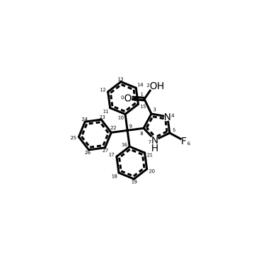 O=C(O)c1nc(F)[nH]c1C(c1ccccc1)(c1ccccc1)c1ccccc1